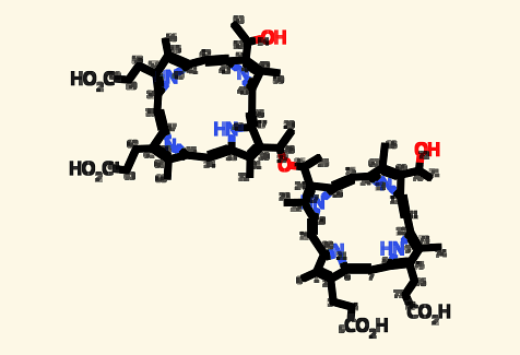 CC1=C(CCC(=O)O)c2cc3[nH]c(cc4nc(cc5[nH]c(cc1n2)c(C)c5C(C)OC(C)c1c(C)c2cc5nc(cc6[nH]c(cc7nc(cc1[nH]2)C(C)=C7C(C)O)c(C)c6CCC(=O)O)C(CCC(=O)O)=C5C)C(C)=C4C(C)O)c(C)c3CCC(=O)O